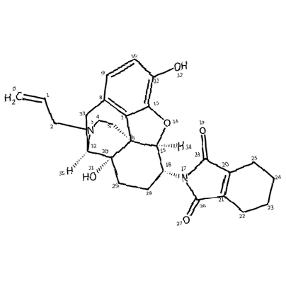 C=CCN1CC[C@]23c4c5ccc(O)c4O[C@H]2[C@H](N2C(=O)C4=C(CCCC4)C2=O)CC[C@@]3(O)[C@H]1C5